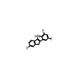 Fc1ccc2c(c1)Cc1c-2[nH]c2c(F)cc(F)cc12